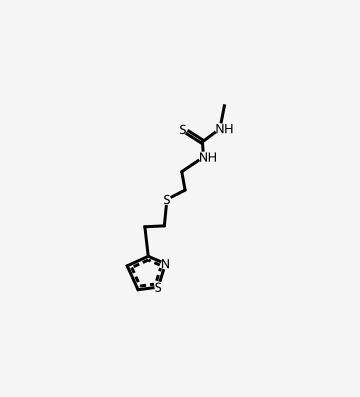 CNC(=S)NCCSCCc1ccsn1